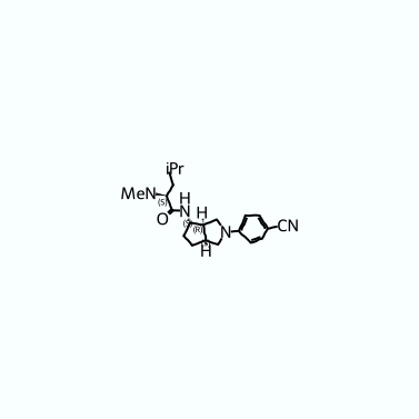 CN[C@@H](CC(C)C)C(=O)N[C@H]1CC[C@@H]2CN(c3ccc(C#N)cc3)C[C@@H]21